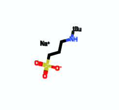 CC(C)(C)NCCCS(=O)(=O)[O-].[Na+]